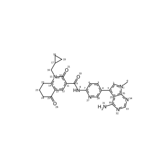 Cn1cc(-c2ccc(NC(=O)c3cc4c(n(CC5CC5)c3=O)CCCC4=O)nc2)c2c(N)ncnc21